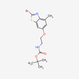 Cc1cc(OCCNC(=O)OC(C)(C)C)cc2sc(Br)nc12